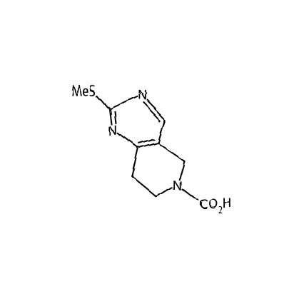 CSc1ncc2c(n1)CCN(C(=O)O)C2